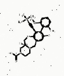 COc1cccc(C)c1-c1c(Cl)cc2c(c1C#C[Si](C)(C)C)OC[C@H]1CN(C(=O)O)CCN1C2